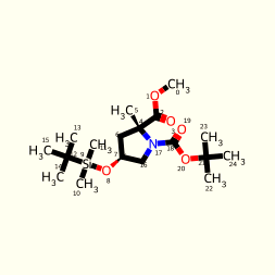 COC(=O)[C@@]1(C)C[C@H](O[Si](C)(C)C(C)(C)C)CN1C(=O)OC(C)(C)C